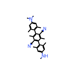 CNc1cc(C)c(-c2c(C)c(C#N)c(-c3c(C)cc(N(C)C)cc3C)c(C)c2C#N)c(C)c1